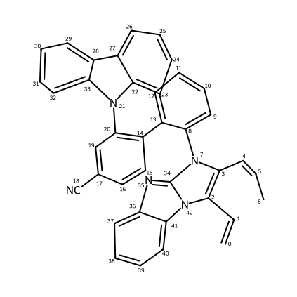 C=Cc1c(/C=C\C)n(-c2ccccc2-c2ccc(C#N)cc2-n2c3ccccc3c3ccccc32)c2nc3ccccc3n12